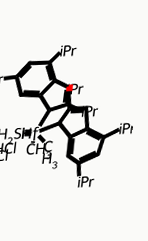 CC(C)C1=Cc2c(C(C)C)cc(C(C)C)cc2[CH]1[Hf]([CH3])([CH3])(=[SiH2])[CH]1C(C(C)C)=Cc2c(C(C)C)cc(C(C)C)cc21.Cl.Cl